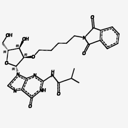 CC(C)C(=O)Nc1nc2c(ncn2[C@@H]2O[C@H](CO)[C@@H](O)[C@H]2OCCCCCN2C(=O)c3ccccc3C2=O)c(=O)[nH]1